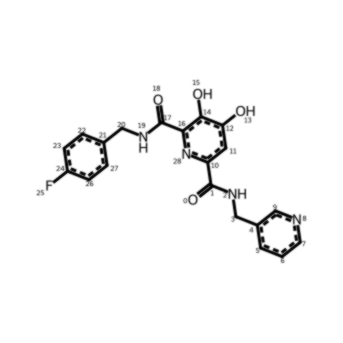 O=C(NCc1cccnc1)c1cc(O)c(O)c(C(=O)NCc2ccc(F)cc2)n1